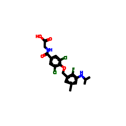 Cc1cc(COc2c(Cl)cc(C(=O)NCC(=O)O)cc2Cl)c(F)c(NC(C)C)c1